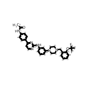 CC(=O)Nc1ccc(-c2ccnc(Nc3cccc(N4CCN(Cc5ccccc5OC(F)(F)F)CC4)c3)n2)cc1